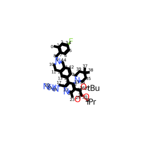 Cc1cc(F)ccc1CN1CCc2cc(-c3c(CN=[N+]=[N-])nc(C)c([C@H](OC(C)(C)C)C(=O)OC(C)C)c3N3CCC(C)(C)CC3)ccc2C1